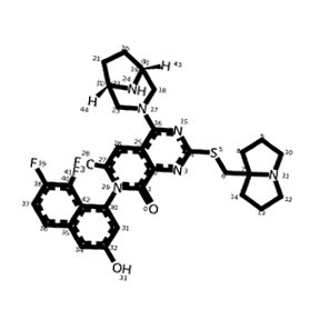 O=c1c2nc(SCC34CCCN3CCC4)nc(N3C[C@H]4CC[C@@H](C3)N4)c2cc(C(F)(F)F)n1-c1cc(O)cc2ccc(F)c(F)c12